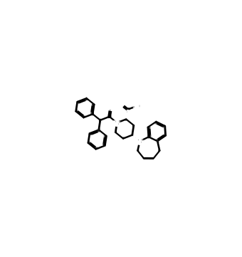 O=C(O)[C@@H]1C[C@H](N2CCCCc3ccccc32)CCN1C(=O)C(c1ccccc1)c1ccccc1